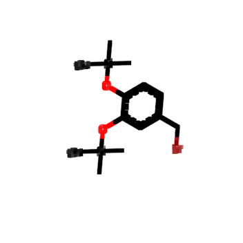 CC(C)(C)[Si](C)(C)Oc1ccc(CBr)cc1O[Si](C)(C)C(C)(C)C